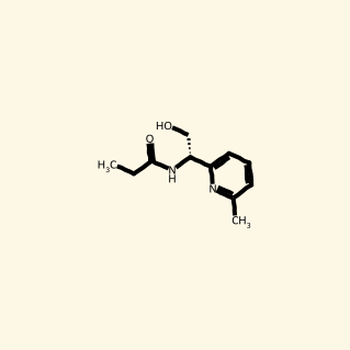 CCC(=O)N[C@H](CO)c1cccc(C)n1